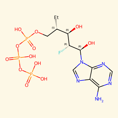 CC[C@@H](COP(=O)(O)OP(=O)(O)OP(=O)(O)O)[C@@H](O)[C@@H](F)[C@@H](O)n1cnc2c(N)ncnc21